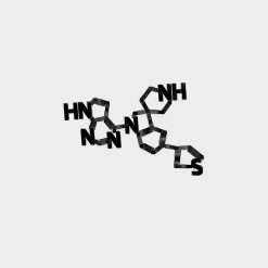 c1nc(N2CC3(CCNCC3)c3cc(-c4ccsc4)ccc32)c2cc[nH]c2n1